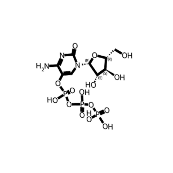 Nc1nc(=O)n([C@@H]2O[C@H](CO)[C@@H](O)[C@@H]2O)cc1OP(=O)(O)OP(=O)(O)OP(=O)(O)O